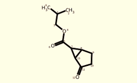 CC(C)COC(=O)C1C2CCC(=O)C21